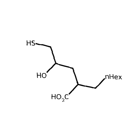 CCCCCCCC(CC(O)CS)C(=O)O